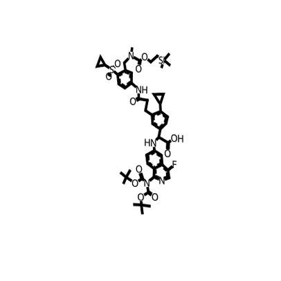 CN(Cc1cc(NC(=O)CCc2cc(C(Nc3ccc4c(N(C(=O)OC(C)(C)C)C(=O)OC(C)(C)C)ncc(F)c4c3)C(=O)O)ccc2C2CC2)ccc1S(=O)(=O)C1CC1)C(=O)OCC[Si](C)(C)C